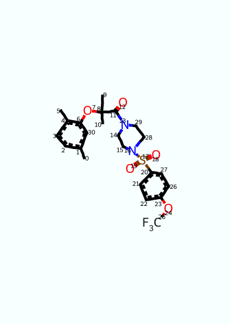 Cc1ccc(C)c(OC(C)(C)C(=O)N2CCN(S(=O)(=O)c3ccc(OC(F)(F)F)cc3)CC2)c1